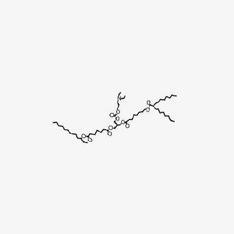 CCCCCCCCCC(CC)OC(=O)CCCCCC(=O)OCC(COC(=O)CCCCCCCOC(=O)C(CCCCCCCC)CCCCCCCC)COC(=O)OCCCN(CC)CC